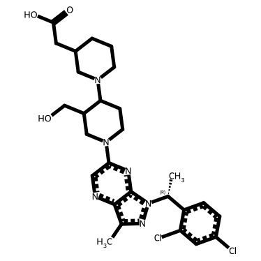 Cc1nn([C@H](C)c2ccc(Cl)cc2Cl)c2nc(N3CCC(N4CCCC(CC(=O)O)C4)C(CO)C3)cnc12